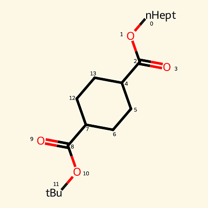 CCCCCCCOC(=O)C1CCC(C(=O)OC(C)(C)C)CC1